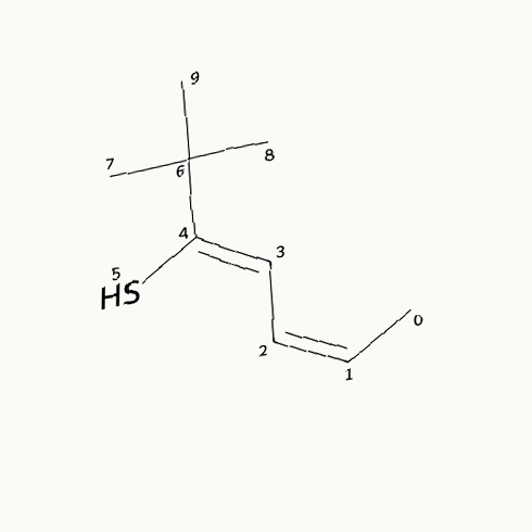 C/C=C\C=C(/S)C(C)(C)C